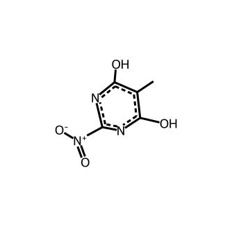 Cc1c(O)nc([N+](=O)[O-])nc1O